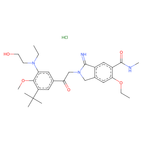 CCOc1cc2c(cc1C(=O)NC)C(=N)N(CC(=O)c1cc(N(CC)CCO)c(OC)c(C(C)(C)C)c1)C2.Cl